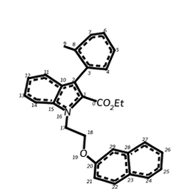 CCOC(=O)c1c(-c2ccccc2C)c2ccccc2n1CCOc1ccc2ccccc2c1